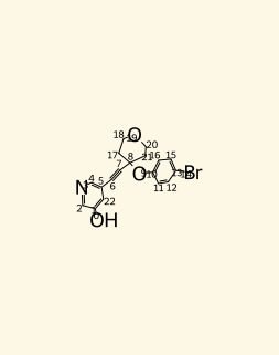 Oc1cncc(C#CC2(Oc3ccc(Br)cc3)CCOCC2)c1